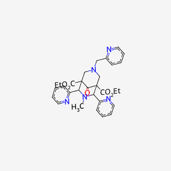 CCOC(=O)C12CN(Cc3ccccn3)CC(C(=O)OCC)(C1=O)C(c1ccccn1)N(C)C2c1ccccn1